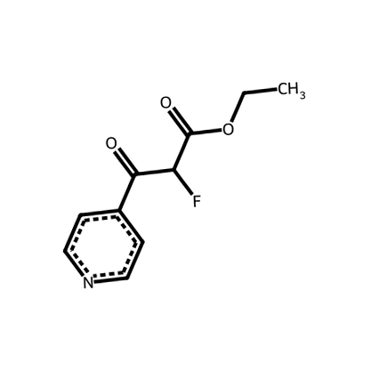 CCOC(=O)C(F)C(=O)c1ccncc1